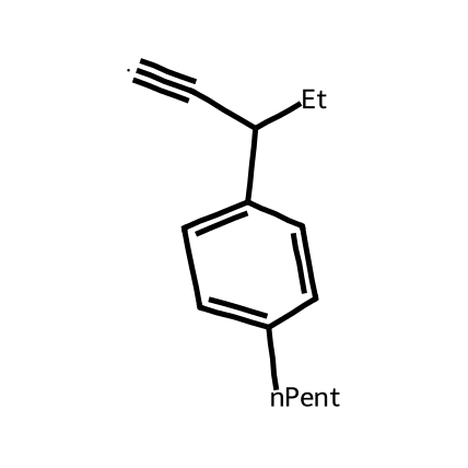 [C]#CC(CC)c1ccc(CCCCC)cc1